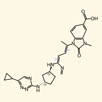 C=N/C(=C\C=C(/C)n1c(=O)n(C)c2cc(C(=O)O)ccc21)N[C@H]1CC[C@H](Nc2ncc(C3CC3)nn2)C1